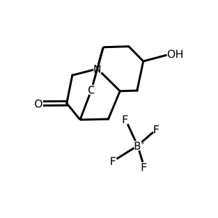 F[B-](F)(F)F.O=C1CN2C3CC(O)CC2CC1C3